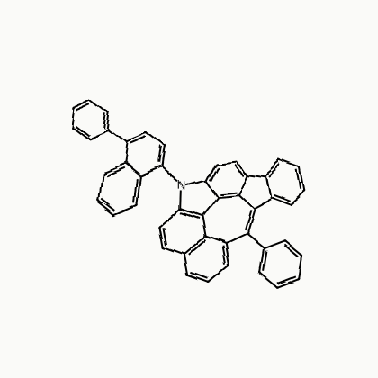 c1ccc(-c2ccc(-n3c4ccc5c6c4c4c7c(cccc7c(-c7ccccc7)c-6c6ccccc65)ccc43)c3ccccc23)cc1